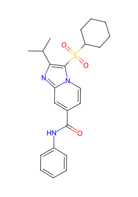 CC(C)c1nc2cc(C(=O)Nc3ccccc3)ccn2c1S(=O)(=O)C1CCCCC1